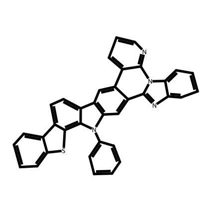 c1ccc(-n2c3cc4c(cc3c3ccc5c6ccccc6sc5c32)c2cccnc2n2c3ccccc3nc42)cc1